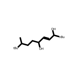 CCCCC(O)/C=C/C(O)CCC(C)C(C)(C)C